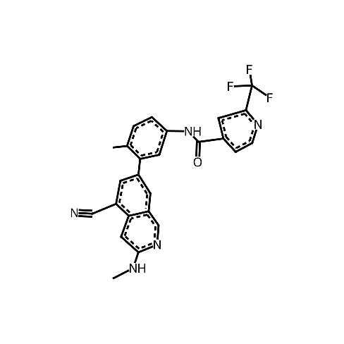 CNc1cc2c(C#N)cc(-c3cc(NC(=O)c4ccnc(C(F)(F)F)c4)ccc3C)cc2cn1